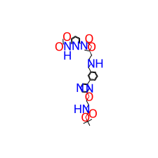 CC(C)(C)OC(=O)NCCOc1cncc(-c2cccc(CNCC[C@H]3CN(c4ccc5c(n4)NC(=O)CO5)C(=O)O3)c2)n1